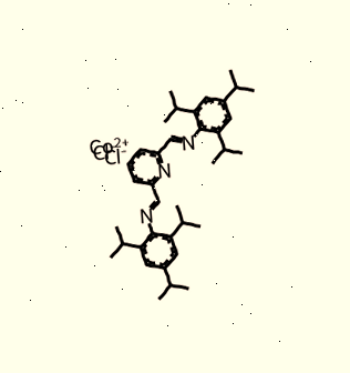 CC(C)c1cc(C(C)C)c(N=Cc2cccc(C=Nc3c(C(C)C)cc(C(C)C)cc3C(C)C)n2)c(C(C)C)c1.[Cl-].[Cl-].[Co+2]